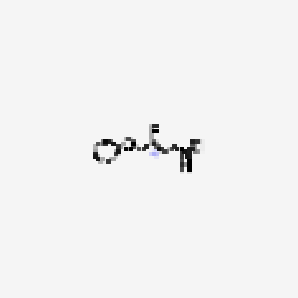 F/C(=C\CNCl)COc1ccccc1